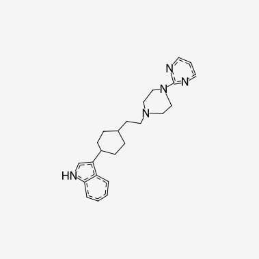 c1cnc(N2CCN(CCC3CCC(c4c[nH]c5ccccc45)CC3)CC2)nc1